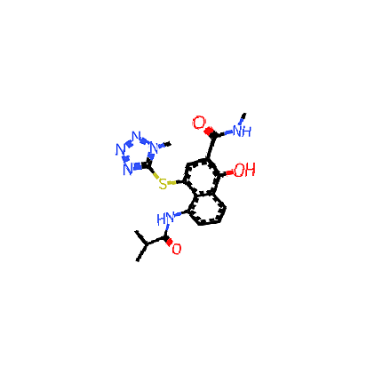 CNC(=O)c1cc(Sc2nnnn2C)c2c(NC(=O)C(C)C)cccc2c1O